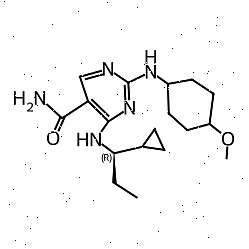 CC[C@@H](Nc1nc(NC2CCC(OC)CC2)ncc1C(N)=O)C1CC1